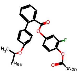 CCCCCCCCCC(=O)Oc1ccc(OC(=O)c2ccccc2-c2ccc(OC(C)CCCCCC)cc2)cc1F